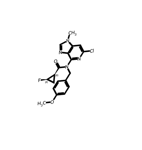 COc1ccc(CN(C(=O)[C@H]2C[C@H]2F)c2nc(Cl)cc3c2ncn3C)cc1